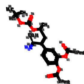 CCCCCC(=O)Oc1ccc(C(CC(C)OC(=O)OC(C)(C)CC)[C@H](N)C(=O)O)cc1OC(=O)CCCCC